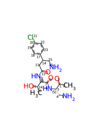 CC(=O)[C@H](CN)NC(=O)[C@@H](NC(=O)CC(CN)c1ccc(Cl)cc1)C(C)O